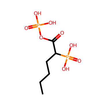 CCCCC(C(=O)OP(=O)(O)O)P(=O)(O)O